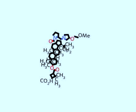 C=C(C)[C@@H]1CC[C@]2(C(=O)N3CCCC3CN3CC[C@@H](OCCOC)C3)CC[C@]3(C)C(CC[C@@H]4C5(C)CCC(OC(=O)C6CC(C(=O)O)C6(C)C)C(C)(C)[C@@H]5CC[C@]43C)[C@@]12C